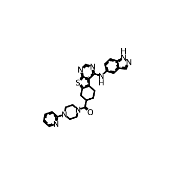 O=C(C1CCc2c(sc3ncnc(Nc4ccc5[nH]ncc5c4)c23)C1)N1CCN(c2ccccn2)CC1